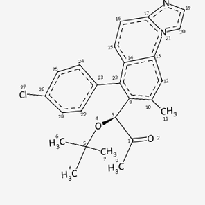 CC(=O)[C@@H](OC(C)(C)C)c1c(C)cc2c(ccc3nccn32)c1-c1ccc(Cl)cc1